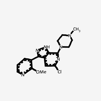 COc1ncccc1-c1n[nH]c2c(N3CCN(C)CC3)nc(Cl)cc12